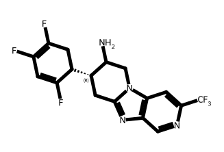 NC1Cn2c(nc3cnc(C(F)(F)F)cc32)C[C@@H]1C1CC(F)=C(F)C=C1F